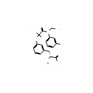 CCN(C(=O)C(C)(C)Oc1cccc(C[C@H](OC)C(=O)O)c1)c1cccc(Cl)c1